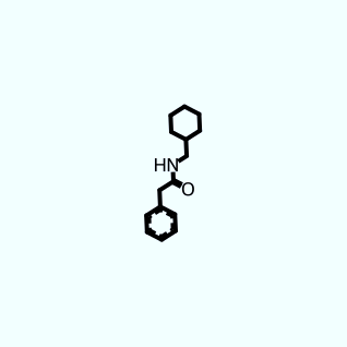 O=C(Cc1ccccc1)NCC1CCCCC1